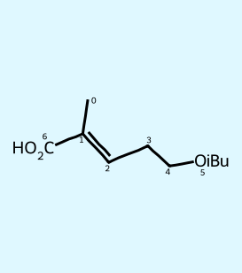 CC(=CCCOCC(C)C)C(=O)O